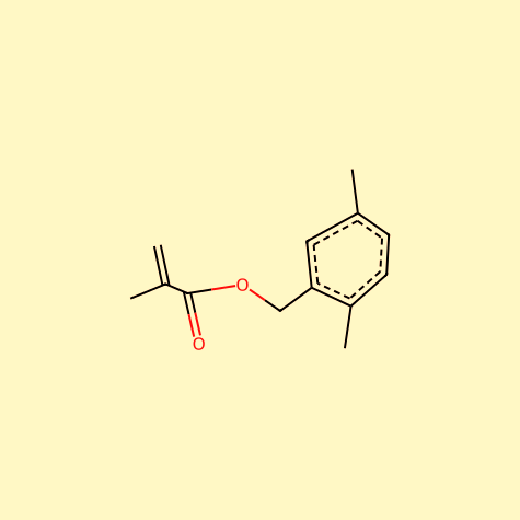 C=C(C)C(=O)OCc1cc(C)ccc1C